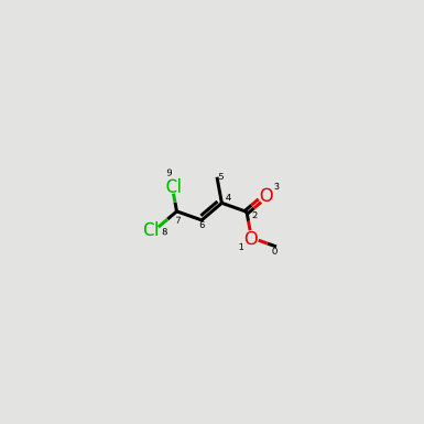 COC(=O)C(C)=CC(Cl)Cl